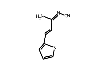 N#C/N=C(N)\C=C\c1cccs1